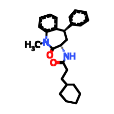 CN1C(=O)[C@@H](NC(=O)CCC2CCCCC2)C[C@H](c2ccccc2)c2ccccc21